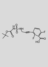 CC(C)(C)OC(=O)NS(=O)(=O)NCC#Cc1ccc(F)c(C(=O)O)c1F